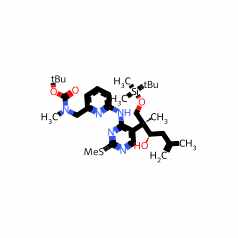 C=C(C)C[C@H](O)[C@](C)(CO[Si](C)(C)C(C)(C)C)c1cnc(SC)nc1Nc1cccc(CN(C)C(=O)OC(C)(C)C)n1